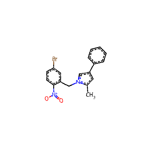 Cc1cc(-c2ccccc2)cn1Cc1cc(Br)ccc1[N+](=O)[O-]